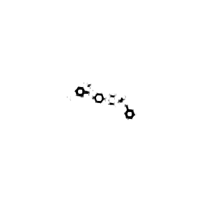 N#Cc1ccc2ncnc(N[C@H]3CC[C@H](N4CCN(C(=O)OCc5ccccc5)CC4)CC3)c2c1